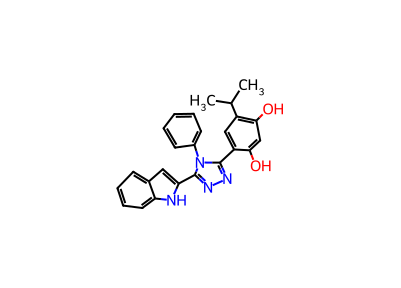 CC(C)c1cc(-c2nnc(-c3cc4ccccc4[nH]3)n2-c2ccccc2)c(O)cc1O